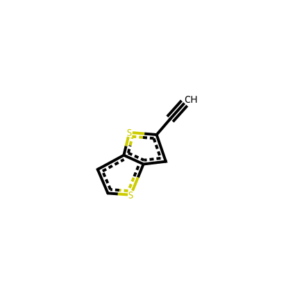 C#Cc1cc2sccc2s1